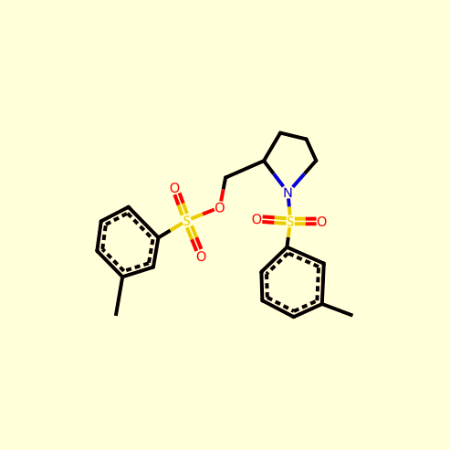 Cc1cccc(S(=O)(=O)OCC2CCCN2S(=O)(=O)c2cccc(C)c2)c1